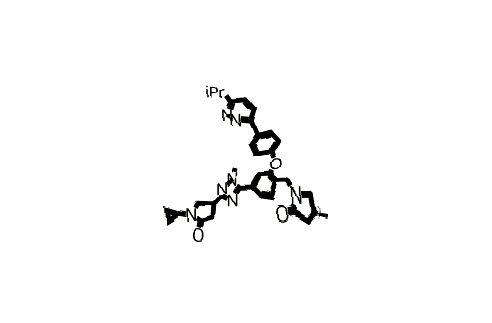 CC(C)c1ccc(-c2ccc(Oc3cc(-c4nc(C5CC(=O)N(C6CC6)C5)nn4C)ccc3CN3C[C@@H](C)CC3=O)cc2)nn1